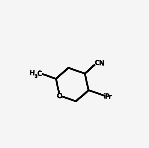 CC1CC(C#N)C(C(C)C)CO1